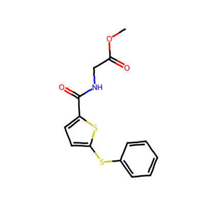 COC(=O)CNC(=O)c1ccc(Sc2ccccc2)s1